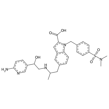 CC(Cc1ccc2c(c1)cc(C(=O)O)n2Cc1ccc(S(=O)(=O)N(C)C)cc1)NCC(O)c1ccc(N)nc1